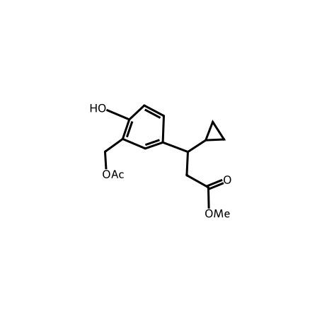 COC(=O)CC(c1ccc(O)c(COC(C)=O)c1)C1CC1